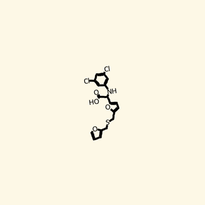 O=C(O)C(Nc1cc(Cl)cc(Cl)c1)c1ccc(CSCc2ccco2)o1